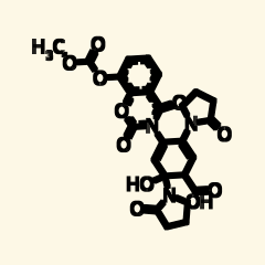 COC(=O)Oc1cccc2c(=O)n(C3=CC(O)(N4CCCC4=O)C(C(=O)O)C=C3N3CCCC3=O)c(=O)oc12